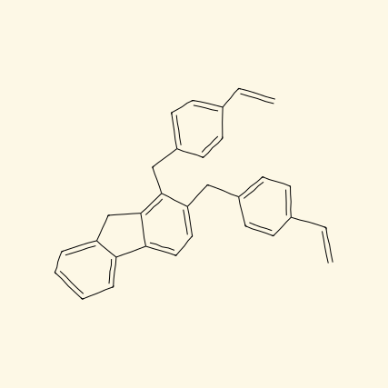 C=Cc1ccc(Cc2ccc3c(c2Cc2ccc(C=C)cc2)Cc2ccccc2-3)cc1